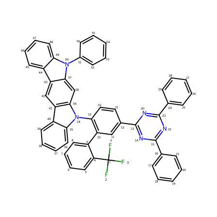 FC(F)(F)c1ccccc1-c1cc(-c2nc(-c3ccccc3)nc(-c3ccccc3)n2)ccc1-n1c2ccccc2c2cc3c4ccccc4n(-c4ccccc4)c3cc21